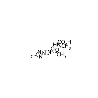 CC(COC(C)CC(=O)N1CCN(c2ncc(C3CC3)cn2)CC1)NC(=O)O